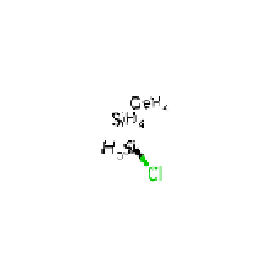 [GeH4].[SiH3]Cl.[SiH4]